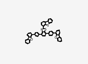 c1ccc2c(c1)oc1c(-c3ccc(-c4ccc(-c5ccc(-c6cccc7c6oc6ccccc67)cc5)c5sc(-c6cccc7c6sc6ccccc67)nc45)cc3)cccc12